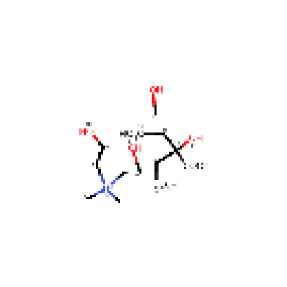 CO.CO.C[N+](C)(C)CCO.O=C(O)CC(O)(CC(=O)O)C(=O)[O-]